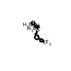 Cc1cncc(-c2nnc(SCCCN3CCCCC(c4ccc(C(F)(F)F)cc4)CC3)n2C)n1